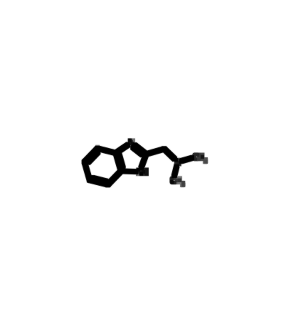 CN(C)Cc1nc2[c]cccc2[nH]1